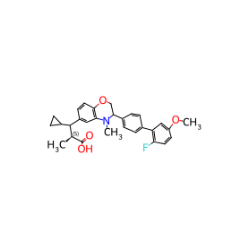 COc1ccc(F)c(-c2ccc(C3COc4ccc(C(C5CC5)[C@H](C)C(=O)O)cc4N3C)cc2)c1